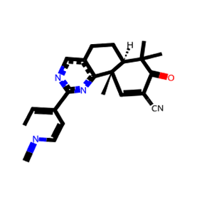 C=N/C=C\C(=C/C)c1ncc2c(n1)[C@@]1(C)C=C(C#N)C(=O)C(C)(C)[C@@H]1CC2